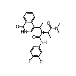 CC(C(=O)N(C)C)N(C(=O)Nc1ccc(F)c(Cl)c1)C(C)c1c[nH]c(=O)c2ccccc12